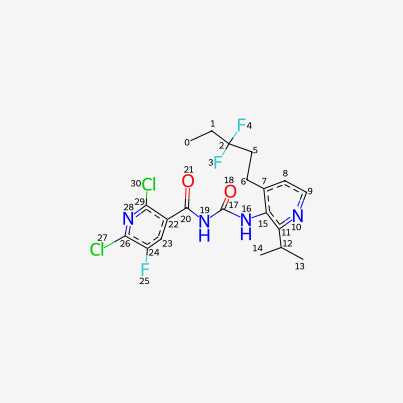 CCC(F)(F)CCc1ccnc(C(C)C)c1NC(=O)NC(=O)c1cc(F)c(Cl)nc1Cl